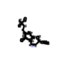 COC(=O)/C=C\n1nnn(CCS(C)(=O)=O)c1=O